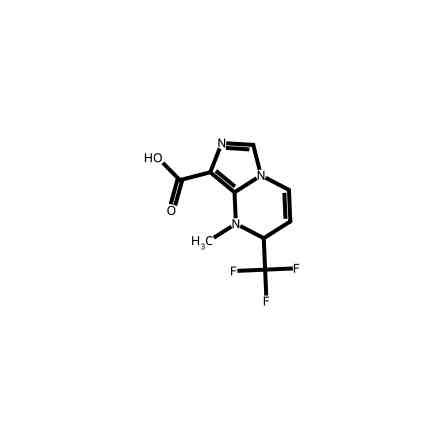 CN1c2c(C(=O)O)ncn2C=CC1C(F)(F)F